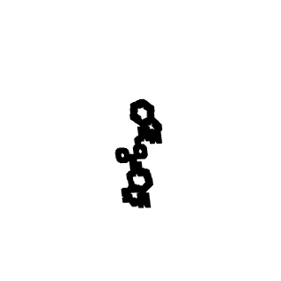 O=C(OCn1ncc2ccccc21)N1C=Cc2ncsc2C1